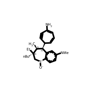 CCCC[C@@]1(CC)C[S+]([O-])c2ccc(NC)cc2[C@H](C2C#CC(N)=CC=C2)[C@@H]1C